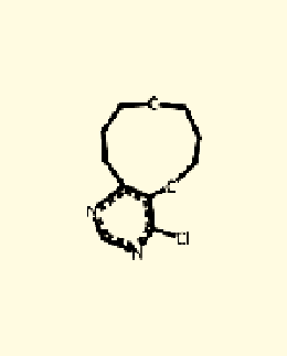 Clc1ncnc2c1CCCCCCCC2